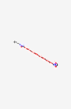 CC(C)(C)CCCCNC(=O)CCOCCOCCOCCOCCOCCOCCOCCOCCN1C(=O)C=CC1=O